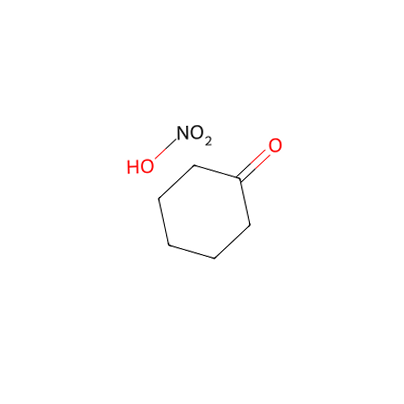 O=C1CCCCC1.O=[N+]([O-])O